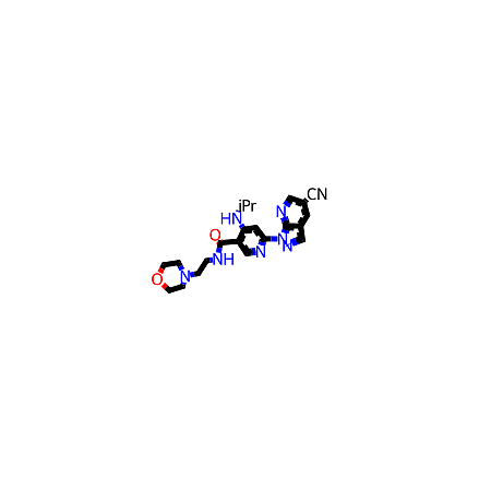 CC(C)Nc1cc(-n2ncc3cc(C#N)cnc32)ncc1C(=O)NCCN1CCOCC1